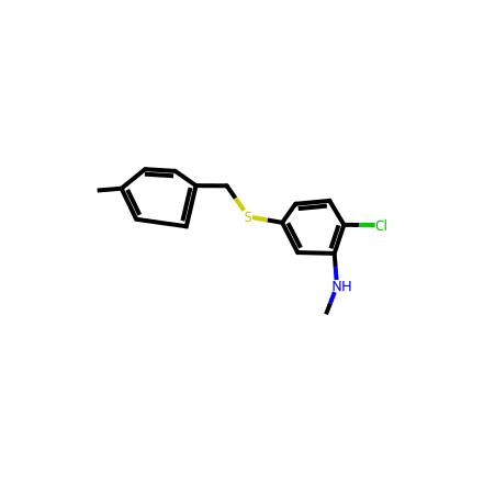 CNc1cc(SCc2ccc(C)cc2)ccc1Cl